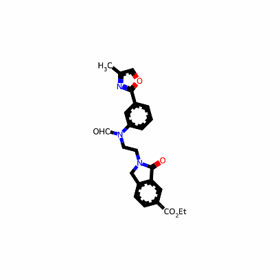 CCOC(=O)c1ccc2c(c1)C(=O)N(CCN(C=O)c1cccc(-c3nc(C)co3)c1)C2